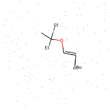 C[CH]C(C)(CC)OC=CCCCC